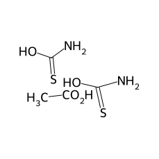 CC(=O)O.NC(O)=S.NC(O)=S